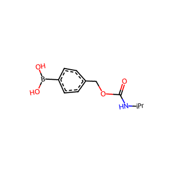 CC(C)NC(=O)OCc1ccc(B(O)O)cc1